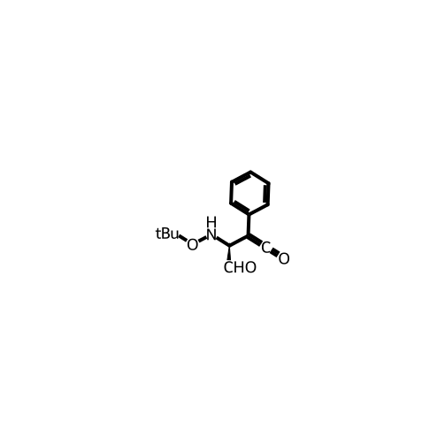 CC(C)(C)ON[C@H](C=O)C(=C=O)c1ccccc1